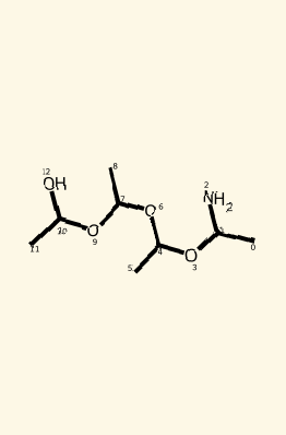 CC(N)OC(C)OC(C)OC(C)O